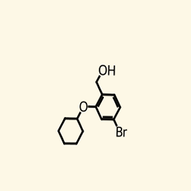 OCc1ccc(Br)cc1OC1CCCCC1